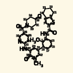 Cc1c(NC(=O)c2cc3c(s2)CCCC3)cccc1-c1cc(Nc2ccc(C(=O)N3CCC(=O)CC3)cn2)c(=O)n(C)c1